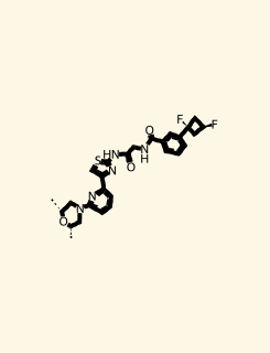 C[C@@H]1CN(c2cccc(-c3csc(NC(=O)CNC(=O)c4cccc([C@]5(F)C[C@H](F)C5)c4)n3)n2)C[C@H](C)O1